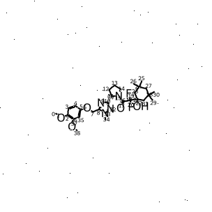 COc1ccc(OCc2nc([C@@H]3CCCN3C(=O)C(F)(F)C3(O)CC(C)(C)CC(C)(C)C3)nn2C)cc1OC